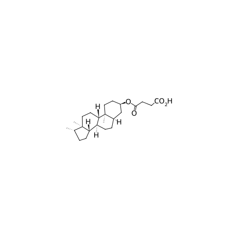 C[C@H]1CC[C@H]2[C@@H]3CC[C@@H]4C[C@H](OC(=O)CCC(=O)O)CC[C@]4(C)[C@H]3CC[C@]12C